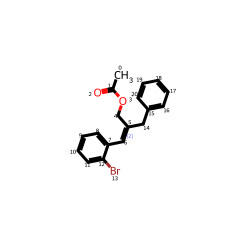 CC(=O)OC/C(=C\c1ccccc1Br)Cc1ccccc1